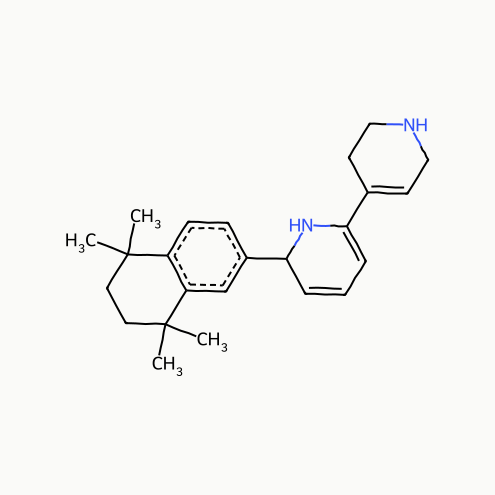 CC1(C)CCC(C)(C)c2cc(C3C=CC=C(C4=CCNCC4)N3)ccc21